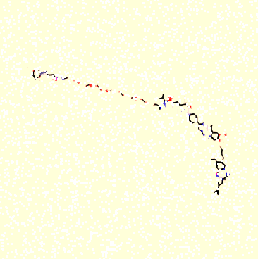 BC(CCCC(=O)C(NC(=C)CCOCCOCCOCCOCCOCCOCCOCCOCCNC(=O)CC/C=C1/CC(=O)C=CC1=O)C(C)C)C(=O)Nc1ccc(C2=CN3C(=C)c4cc(OC)c(OCCCCc5cc6c(cc5CC)C(=O)N5C=C(C7CC7)C[C@H]5C=N6)cc4N=CC3C2)cc1